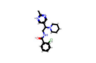 Cc1ncc(C(CNC(=O)c2ccccc2Cl)N2CCCCC2)cn1